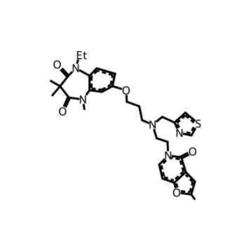 CCN1C(=O)C(C)(C)C(=O)N(C)c2cc(OCCCN(CCn3ccc4oc(C)cc4c3=O)Cc3cscn3)ccc21